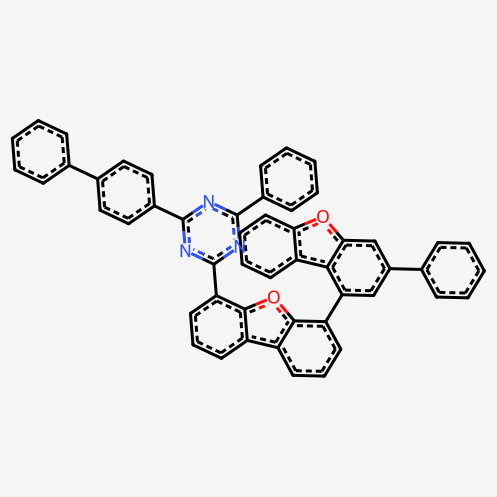 c1ccc(-c2ccc(-c3nc(-c4ccccc4)nc(-c4cccc5c4oc4c(-c6cc(-c7ccccc7)cc7oc8ccccc8c67)cccc45)n3)cc2)cc1